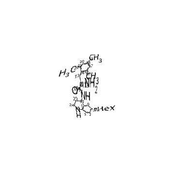 CCCCCCc1ccc2c(c1)[C@H](NC(=O)[C@@H](N)Cc1c(C)cc(C)cc1C)CCN2